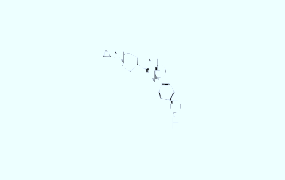 FCOc1ccc(-c2nc(C3CCN(C4CC4)CC3)no2)cc1